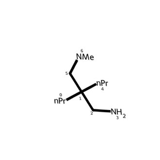 CCCC(CN)(CCC)CNC